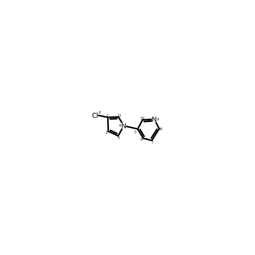 Clc1ccn(-c2cccnc2)c1